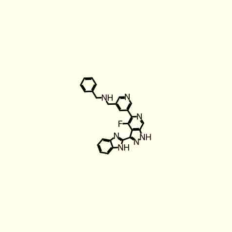 Fc1c(-c2cncc(CNCc3ccccc3)c2)ncc2[nH]nc(-c3nc4ccccc4[nH]3)c12